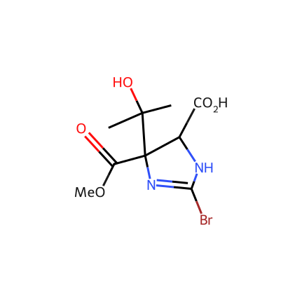 COC(=O)C1(C(C)(C)O)N=C(Br)NC1C(=O)O